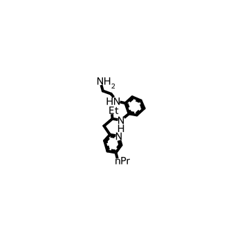 CCCc1ccc(CC(CC)Nc2ccccc2NCCN)nc1